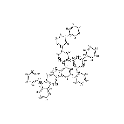 c1ccc(-c2cccc(-c3cnc(-c4cccc5c4sc4cc6c(cc45)c4ccccc4n6-c4ccccc4)c(-c4nc(-c5ccccc5)nc(-c5ccccc5)n4)c3)c2)cc1